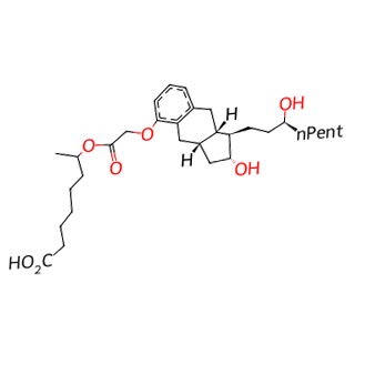 CCCCC[C@H](O)CC[C@@H]1[C@H]2Cc3cccc(OCC(=O)OC(C)CCCCCC(=O)O)c3C[C@H]2C[C@H]1O